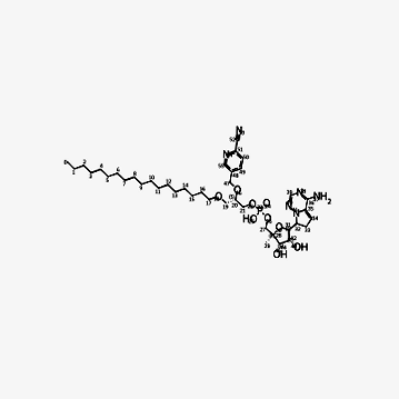 CCCCCCCCCCCCCCCCCCOC[C@@H](COP(=O)(O)OC[C@@]1(C)O[C@@H](C2CC=C3C(N)=NC=NN32)[C@H](O)[C@@H]1O)OCc1ccc(C#N)nc1